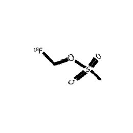 CS(=O)(=O)OC[18F]